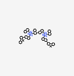 CC1(C)c2ccccc2-c2cc(-c3ccc4c(-c5nc(-c6cccc7ccccc67)nc(-c6cccc7cc(-c8ccc(-c9nc(-c%10cccc%11ccccc%10%11)nc(-c%10cccc%11cc(-c%12cccc%13c%12C(C)(C)c%12ccccc%12-%13)ccc%10%11)n9)c9ccccc89)ccc67)n5)cccc4c3)ccc21